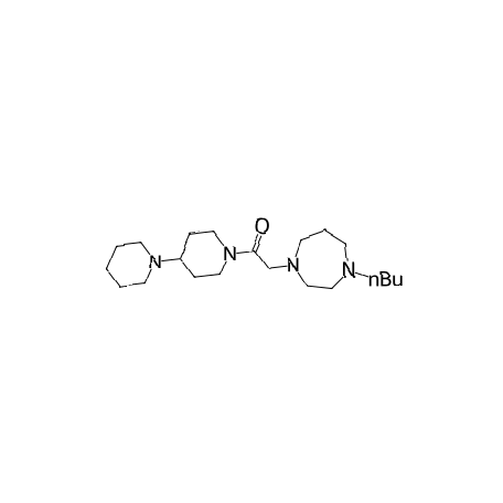 CCCCN1CCCN(CC(=O)N2CCC(N3CCCCC3)CC2)CC1